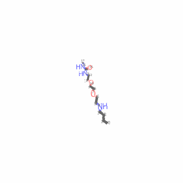 CCCCNCCOCCOCCNC(=O)NC